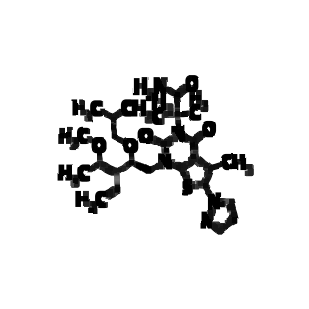 C=C/C(=C(\C)OC)[C@H](Cn1c(=O)n(C(C)(C)C(N)=O)c(=O)c2c(C)c(-n3cccn3)sc21)OCC(C)C